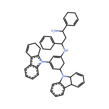 NC(CC(NC1=CC(n2c3c(c4ccccc42)C=CCC3)=CC(N2c3ccccc3C3C=CC=CC32)C1)C1=CC=CCC1)C1=CCCC=C1